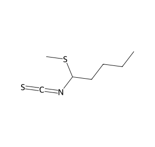 CCCCC(N=C=S)SC